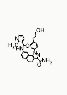 Cc1ncccc1C(=O)Nc1ccc2c(c1)-c1c(c(C(N)=O)nn1-c1ccc(CCCO)cc1)CC2